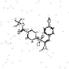 COC(=Cc1ccc(Cl)cc1)S(=O)(=O)N1CCN(C(=O)OC(C)(C)C)CC1